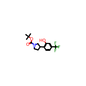 CC(C)(C)OC(=O)N1CCC(c2ccc(C(F)(F)F)cc2O)C1